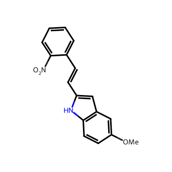 COc1ccc2[nH]c(C=Cc3ccccc3[N+](=O)[O-])cc2c1